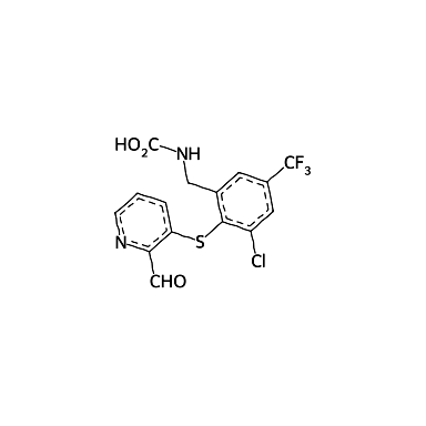 O=Cc1ncccc1Sc1c(Cl)cc(C(F)(F)F)cc1CNC(=O)O